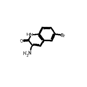 Nc1cc2cc(Br)ccc2[nH]c1=O